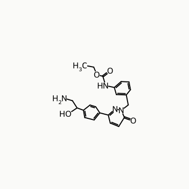 CCOC(=O)Nc1cccc(Cn2nc(-c3ccc(C(O)CN)cc3)ccc2=O)c1